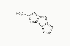 O=C(O)c1cc2sc3sccc3c2s1